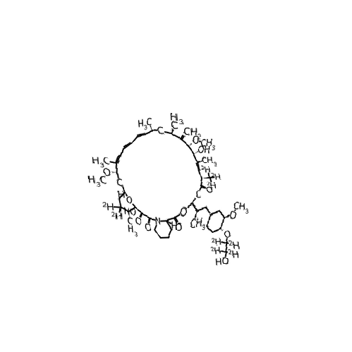 [2H]C([2H])([2H])[C@@H]1/C=C(\C)[C@@H](O)[C@@H](OC)C(=C)[C@H](C)C[C@H](C)/C=C/C=C/C=C(\C)[C@@H](OC)C[C@@H]2CC([2H])([2H])[C@@H](C)[C@@](O)(O2)C(=O)C(=O)N2CCCC[C@H]2C(=O)O[C@H]([C@H](C)C[C@@H]2CC[C@@H](OC([2H])([2H])C([2H])([2H])O)[C@H](OC)C2)CC1=O